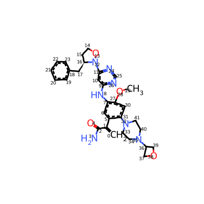 C=C(C(N)=O)c1cc(Nc2cc(N3OCC[C@@H]3Cc3ccccc3)ncn2)c(OC)cc1N1CCN(C2COC2)CC1